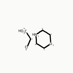 C1COCCN1.O=C(O)CCl